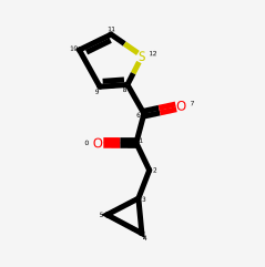 O=C(CC1CC1)C(=O)c1cccs1